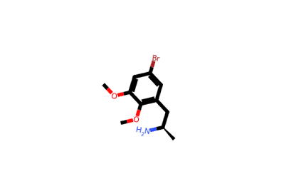 COc1cc(Br)cc(C[C@@H](C)N)c1OC